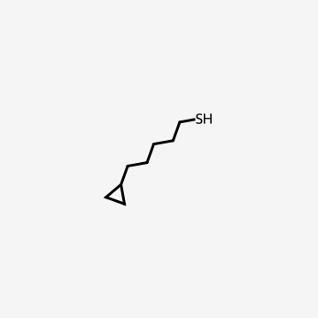 SCCCCCC1CC1